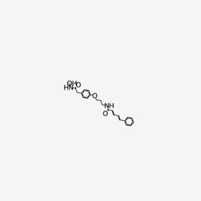 O=C(/C=C/C=C/c1ccccc1)NCCCOc1ccc(CC(=O)NO)cc1